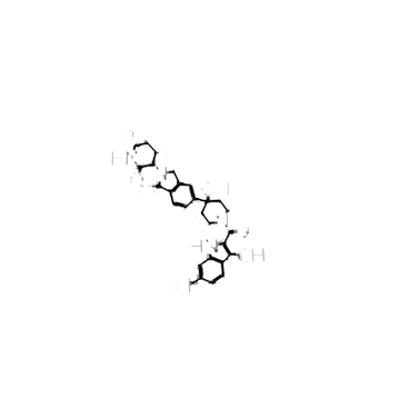 Cc1c(C(=O)N2CCC(O)(c3ccc4c(c3)CN(C3CCC(=O)NC3=O)C4=O)CC2)[nH]c2cc(Cl)ccc12